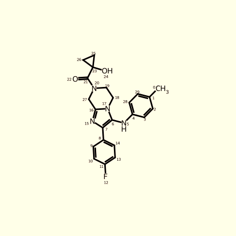 Cc1ccc(Nc2c(-c3ccc(F)cc3)nc3n2CCN(C(=O)C2(O)CC2)C3)cc1